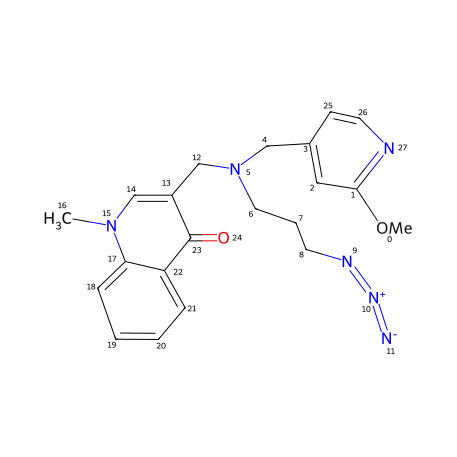 COc1cc(CN(CCCN=[N+]=[N-])Cc2cn(C)c3ccccc3c2=O)ccn1